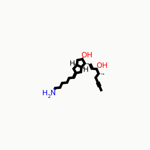 CC#CC[C@@H](C)[C@H](O)C=C[C@@H]1[C@H]2CC(=CCCCCCN)C[C@H]2C[C@H]1O